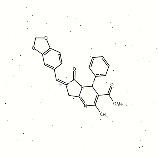 COC(=O)C1=C(C)N=C2C/C(=C/c3ccc4c(c3)OCO4)C(=O)N2C1c1ccccc1